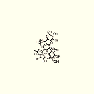 CC(=O)N[C@H]1[C@H](O[C@@H]2[C@H](O[C@H]3O[C@H](CO)[C@H](O)[C@H](O)[C@H]3O)[C@@H](O)[C@H](O[C@H]3[C@H](O)[C@@H](O)[C@H](O)O[C@@H]3CO)O[C@@H]2CO)O[C@H](CO)[C@H](O)[C@@H]1O